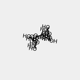 CN(CCCNC(=O)c1c(I)c(NC(=O)CO)c(I)c(C(=O)NCC(O)CO)c1I)C(=O)c1c(I)c(NC(=O)CO)c(I)c(C(=O)NCC(O)CO)c1I